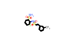 NS(=O)(=O)c1cccc(F)c1NS(=O)(=O)/C=C/c1cccc(C(F)(F)F)c1